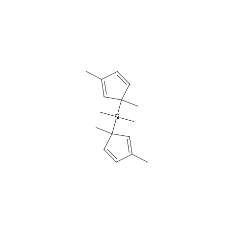 CC1=CC(C)([Si](C)(C)C2(C)C=CC(C)=C2)C=C1